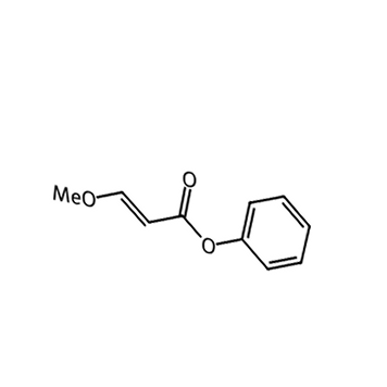 CO/C=C/C(=O)Oc1ccccc1